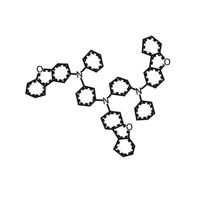 c1ccc(N(c2cccc(N(c3cccc(N(c4ccccc4)c4ccc5oc6ccccc6c5c4)c3)c3ccc4c(c3)oc3ccccc34)c2)c2ccc3oc4ccccc4c3c2)cc1